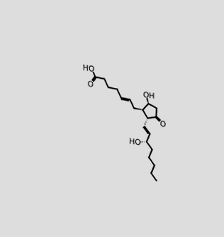 CCCCC[C@H](O)C=C[C@H]1C(=O)C[C@H](O)[C@@H]1CC=CCCCC(=O)O